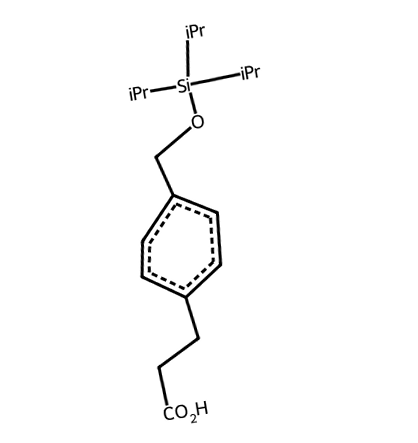 CC(C)[Si](OCc1ccc(CCC(=O)O)cc1)(C(C)C)C(C)C